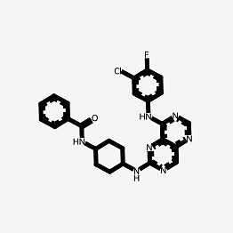 O=C(NC1CCC(Nc2ncc3ncnc(Nc4ccc(F)c(Cl)c4)c3n2)CC1)c1ccccc1